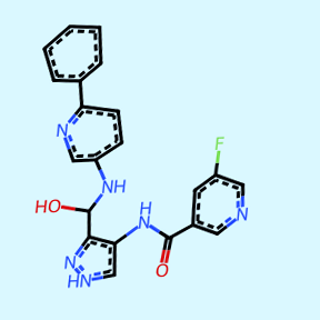 O=C(Nc1c[nH]nc1C(O)Nc1ccc(-c2ccccc2)nc1)c1cncc(F)c1